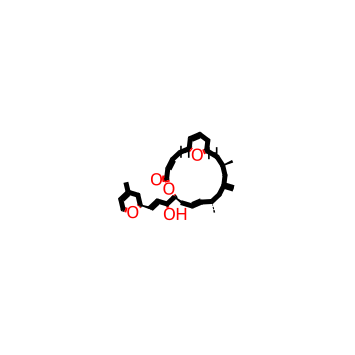 C=C1C[C@H](C)C[C@@H]2CC=C[C@@H](C/C=C\C(=O)O[C@H]([C@@H](O)/C=C/[C@@H]3CC(C)=CCO3)C/C=C/[C@@H](C)C1)O2